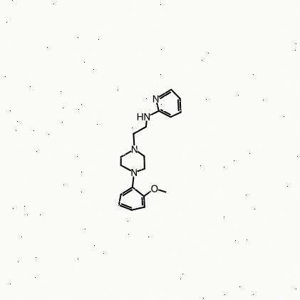 COc1ccccc1N1CCN(CCNc2ccccn2)CC1